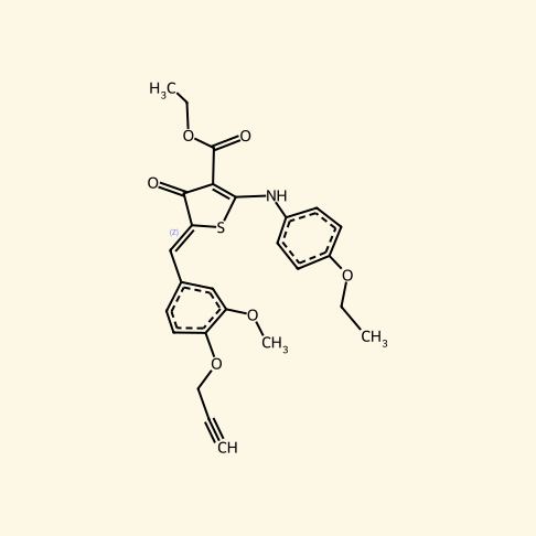 C#CCOc1ccc(/C=C2\SC(Nc3ccc(OCC)cc3)=C(C(=O)OCC)C2=O)cc1OC